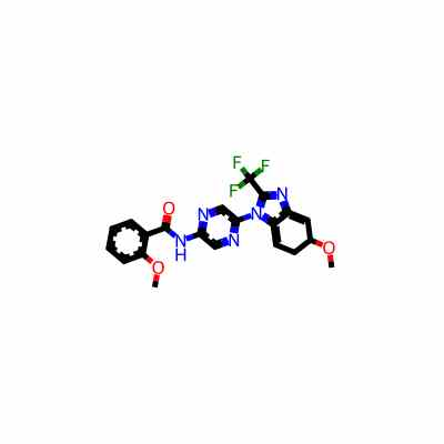 COc1ccccc1C(=O)Nc1cnc(-n2c(C(F)(F)F)nc3c2=CCC(OC)C=3)cn1